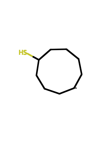 SC1CCC[CH]CCCC1